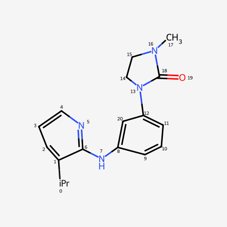 CC(C)c1cccnc1Nc1cccc(N2CCN(C)C2=O)c1